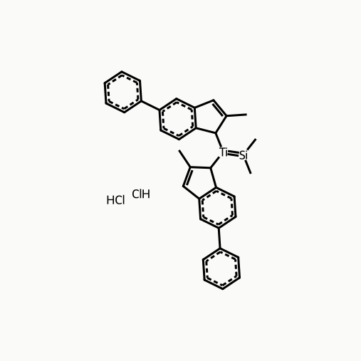 CC1=Cc2cc(-c3ccccc3)ccc2[CH]1[Ti]([CH]1C(C)=Cc2cc(-c3ccccc3)ccc21)=[Si](C)C.Cl.Cl